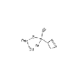 C#CC(CC)(O[PH](=O)O)C1C=CC1